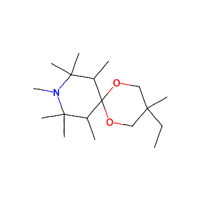 CCC1(C)COC2(OC1)C(C)C(C)(C)N(C)C(C)(C)C2C